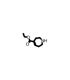 CCOC(=O)C1=CCCNCC1